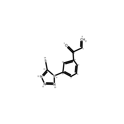 C=CC(=O)c1cccc(-n2nnnc2[S])c1